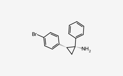 N[C@]1(c2ccccc2)C[C@@H]1c1ccc(Br)cc1